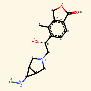 Cc1c([C@@H](O)CN2CC3C(C2)C3NCl)ccc2c1COC2=O